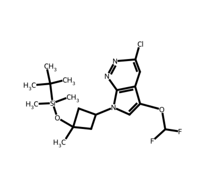 CC1(O[Si](C)(C)C(C)(C)C)CC(n2cc(OC(F)F)c3cc(Cl)nnc32)C1